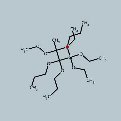 CCCOC(C)(OOC)C(OCCC)(OCCC)[Si](OCC)(OCC)OCC